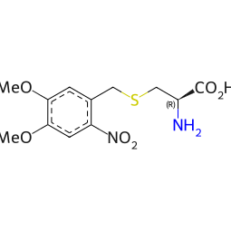 COc1cc(CSC[C@H](N)C(=O)O)c([N+](=O)[O-])cc1OC